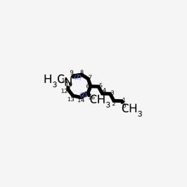 CCCCCCC1C/C=C\N(C)CC/C=C\1C